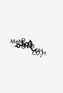 CNC(=O)c1c(-c2ccc(C)cc2)oc2nc(N(CCC[C@H](CO)C(=O)O)S(C)(=O)=O)c(C3CC3)cc12